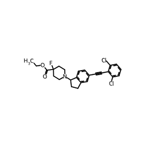 CCOC(=O)C1(F)CCN(C2CCc3cc(C#Cc4c(Cl)cccc4Cl)ccc32)CC1